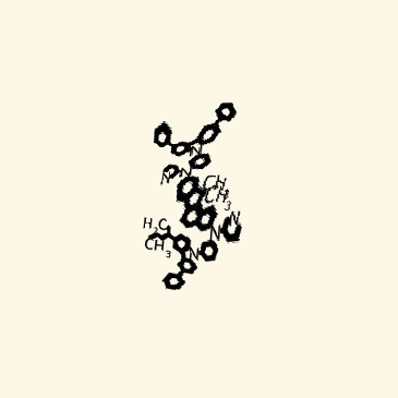 C=C/C(=C\C=C/C)c1ccc2c(c1)c1cc(-c3ccccc3)ccc1n2-c1cccc(N(c2cccnc2)c2ccc3c4c(ccc3c2)-c2ccc(N(c3cccnc3)c3cccc(-n5c6ccc(-c7ccccc7)cc6c6cc(-c7ccccc7)ccc65)c3)cc2C4(C)C)c1